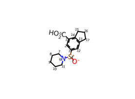 O=C(O)c1cc([S+]([O-])N2CCCCC2)cc2c1CCC2